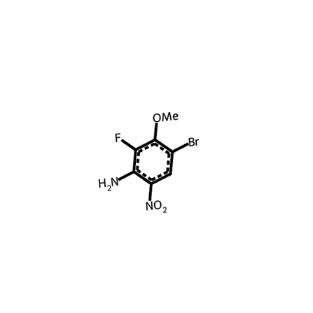 COc1c(Br)cc([N+](=O)[O-])c(N)c1F